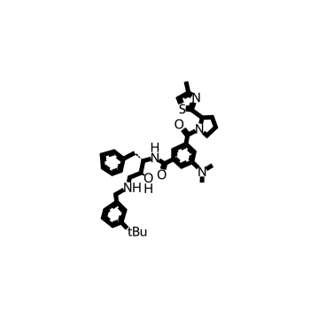 Cc1csc(C2CCCN2C(=O)c2cc(C(=O)N[C@@H](Cc3ccccc3)[C@H](O)CNCc3cccc(C(C)(C)C)c3)cc(N(C)C)c2)n1